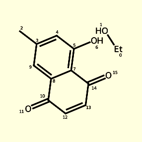 CCO.Cc1cc(O)c2c(c1)C(=O)C=CC2=O